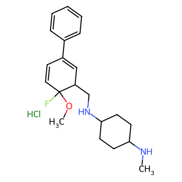 CNC1CCC(NCC2C=C(c3ccccc3)C=CC2(F)OC)CC1.Cl